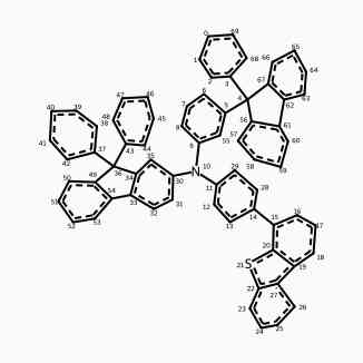 c1ccc(C2(c3cccc(N(c4ccc(-c5cccc6c5sc5ccccc56)cc4)c4ccc5c(c4)C(c4ccccc4)(c4ccccc4)c4ccccc4-5)c3)c3ccccc3-c3ccccc32)cc1